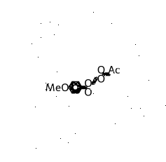 COc1ccc(C(=O)OCCOC(=O)CC(C)=O)cc1